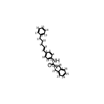 O=C(Nc1ccc(/C=C/CCCc2ccccc2)cc1)N1Cc2ccccc2C1